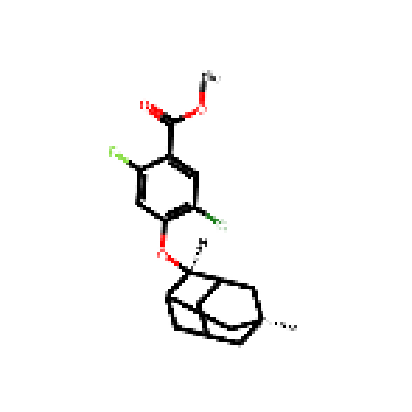 CC(C)(C)OC(=O)c1cc(Cl)c(O[C@H]2C3CC4CC2C[C@](C)(C4)C3)cc1F